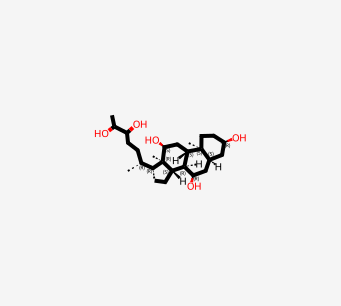 CC(O)C(O)CC[C@@H](C)[C@H]1CC[C@H]2[C@@H]3[C@H](O)C[C@@H]4C[C@H](O)CC[C@]4(C)[C@H]3C[C@H](O)[C@]12C